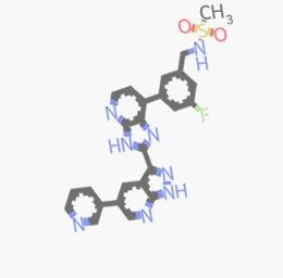 CS(=O)(=O)NCc1cc(F)cc(-c2ccnc3[nH]c(-c4n[nH]c5ncc(-c6cccnc6)cc45)nc23)c1